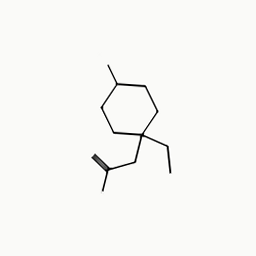 CCC1(CC(=O)O)CCC([18F])CC1